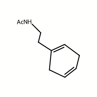 CC(=O)NCCC1=CCC=CC1